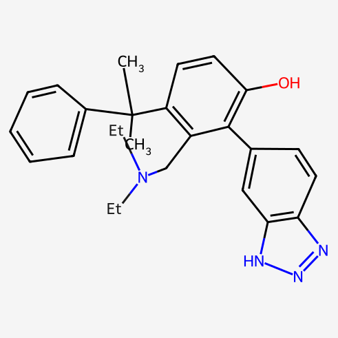 CCN(CC)Cc1c(C(C)(C)c2ccccc2)ccc(O)c1-c1ccc2nn[nH]c2c1